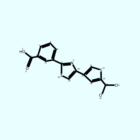 O=C(O)c1cccc(-c2nc(-c3csc(C(Cl)Cl)c3)cs2)c1